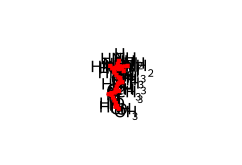 CNC(=O)[C@@H](CCCNC(=N)N)NC(=O)[C@@H](CCCNC(=N)N)NC(=O)[C@@H](CCCNC(=N)N)NC(=O)CNC(=O)[C@H](C)NC(=O)[C@H](CSC)NC(=O)CNC(=O)[C@H](CC(C)C)NC(=O)[C@@H]1CCCN1C(=O)COCCNC(=O)[C@@H](CCC(=O)O)NC